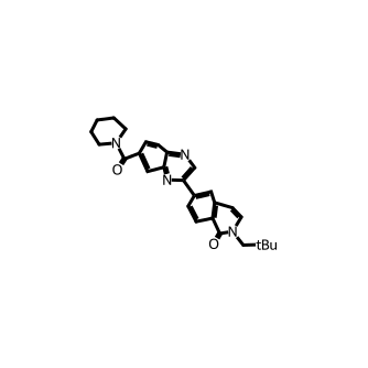 CC(C)(C)Cn1ccc2cc(-c3cnc4ccc(C(=O)N5CCCCC5)cc4n3)ccc2c1=O